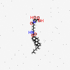 CC(C)CCCC(C)C1CCC2C3CC=C4C[C@@H](OC(=O)NCCCCCC(=O)N5CC(O)C(C(=O)O)C5)CC[C@]4(C)C3CC[C@]12C